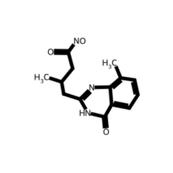 Cc1cccc2c(=O)[nH]c(CC(C)CC(=O)N=O)nc12